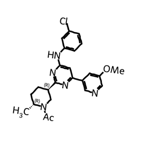 COc1cncc(-c2cc(Nc3cccc(Cl)c3)nc([C@@H]3CC[C@@H](C)N(C(C)=O)C3)n2)c1